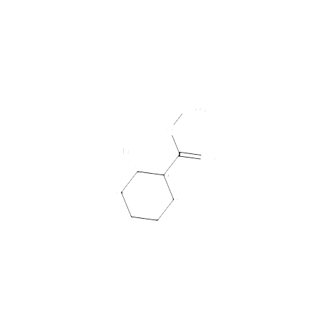 CCCCCOC(=O)C1CCCCC1.[LiH]